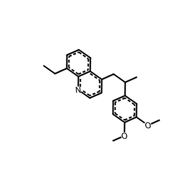 CCc1cccc2c(CC(C)c3ccc(OC)c(OC)c3)ccnc12